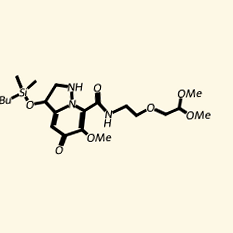 COc1c(C(=O)NCCOCC(OC)OC)n2c(cc1=O)C(O[Si](C)(C)C(C)(C)C)CN2